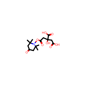 CC1(C)CC(=O)CC(C)(C)N1OC(=O)CC(O)(CC(=O)O)C(=O)O